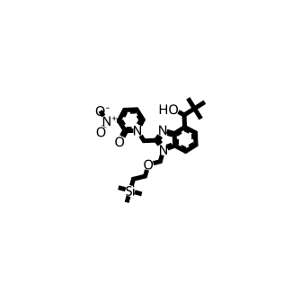 CC(C)(C)C(O)c1cccc2c1nc(Cn1cccc([N+](=O)[O-])c1=O)n2COCC[Si](C)(C)C